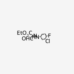 CCOC(=O)/C(C=O)=N/Nc1ccc(F)c(Cl)c1